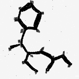 CCC(=O)CN(CC)[C@H](C)c1ccccc1